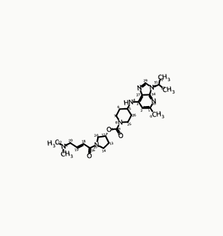 Cc1cc(NC2CCN(C(=O)O[C@@H]3CCN(C(=O)/C=C/CN(C)C)C3)CC2)c2ncn(C(C)C)c2n1